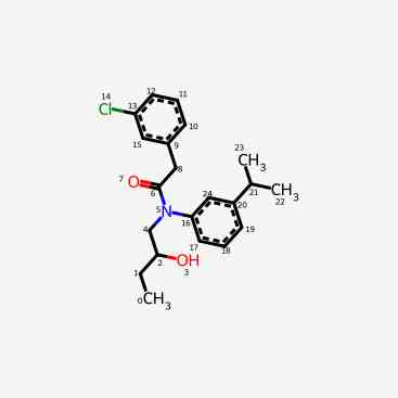 CCC(O)CN(C(=O)Cc1cccc(Cl)c1)c1cccc(C(C)C)c1